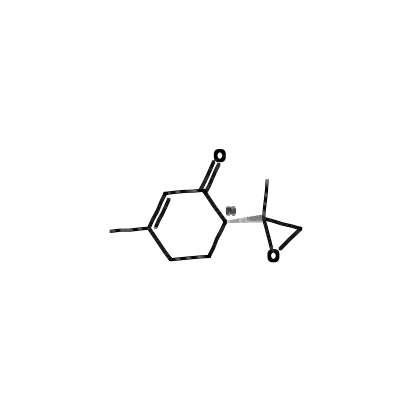 CC1=CC(=O)[C@H](C2(C)CO2)CC1